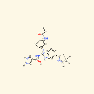 C=CC(=O)Nc1cccc(-n2c(NC(=O)c3cnn(C)c3)nc3cc(CN[C@@H](C)C(C)(C)C)ccc32)c1